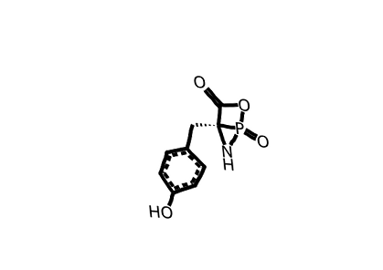 O=C1OP2(=O)N[C@@]12Cc1ccc(O)cc1